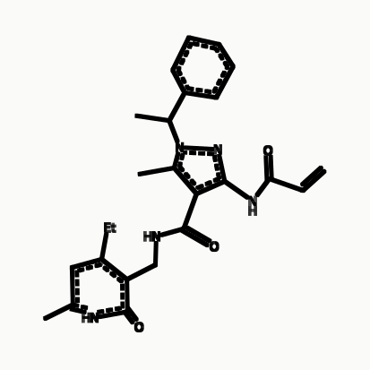 C=CC(=O)Nc1nn(C(C)c2ccccc2)c(C)c1C(=O)NCc1c(CC)cc(C)[nH]c1=O